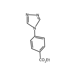 CCOC(=O)c1ccc(-n2cnnc2)cc1